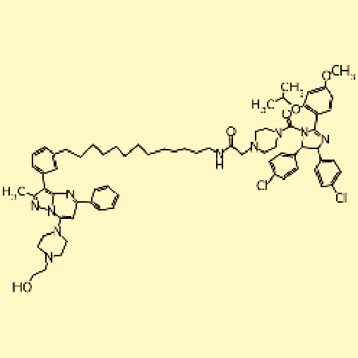 COc1ccc(C2=N[C@@H](c3ccc(Cl)cc3)[C@@H](c3ccc(Cl)cc3)N2C(=O)N2CCN(CC(=O)NCCCCCCCCCCCCCc3cccc(-c4c(C)nn5c(N6CCN(CCO)CC6)cc(-c6ccccc6)nc45)c3)CC2)c(OC(C)C)c1